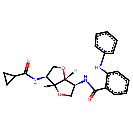 O=C(N[C@H]1CO[C@H]2[C@@H]1OC[C@@H]2NC(=O)C1CC1)c1ccccc1Nc1ccccc1